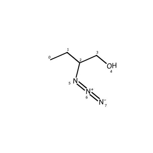 CCC(CO)N=[N+]=[N-]